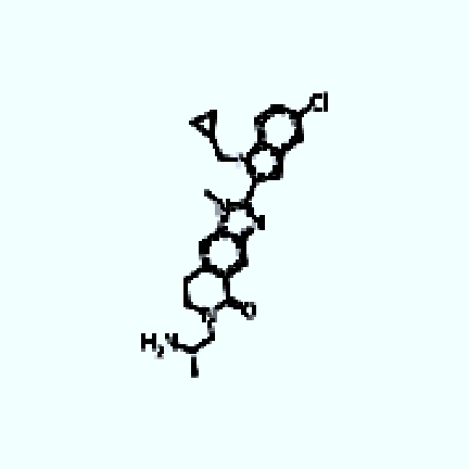 C[C@@H](N)CN1CCc2cc3c(cc2C1=O)nc(-c1cc2cc(Cl)ccc2n1CC1CC1)n3C